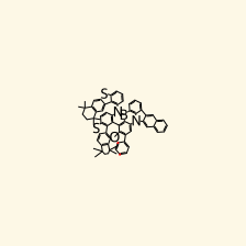 CC1(C)CCC(C)(C)c2cc3c(cc21)sc1cccc(N2B4c5c(cc6c(oc7ccccc76)c5-c5c2ccc2sc6cc7c(cc6c52)C(C)(C)CCC7(C)C)-n2c5cc6ccccc6cc5c5cccc4c52)c13